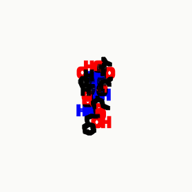 CCCC(NC(=O)[C@@H]1[C@H]2CCC(=O)[C@H]2CN1C(=O)[C@@H](NC(=O)[C@@H](O)C(C)C)C(C)C)C(=O)C(=O)NC(Cc1ccccc1)C(=O)O